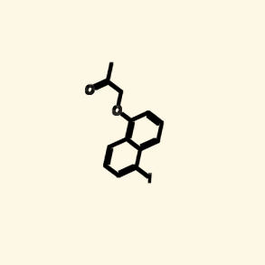 CC(=O)COc1cccc2c(I)cccc12